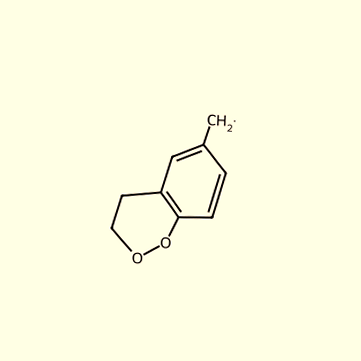 [CH2]c1ccc2c(c1)CCOO2